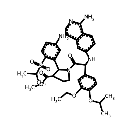 CCOc1cc(C(Nc2ccc3c(N)nccc3c2)C(=O)N2CCC(C(=O)OC)C2c2cc(N)ccc2S(=O)(=O)C(C)C)ccc1OC(C)C